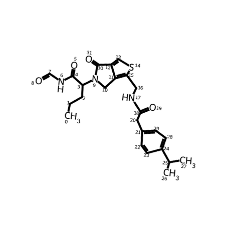 CCCC(C(=O)NC=O)N1Cc2c(csc2CNC(=O)Cc2ccc(C(C)C)cc2)C1=O